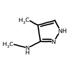 CNc1n[nH]cc1C